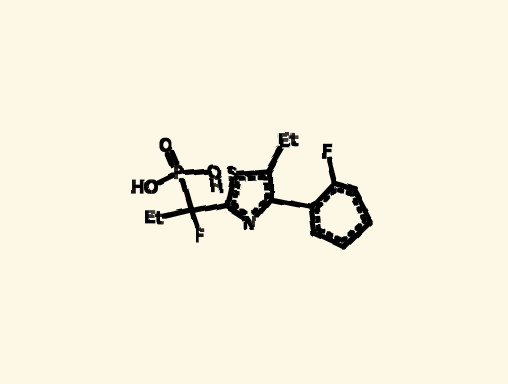 CCc1sc(C(F)(CC)P(=O)(O)O)nc1-c1ccccc1F